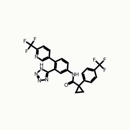 O=C(Nc1ccc(-c2ccc(C(F)(F)F)nc2)c(-c2nnn[nH]2)c1)C1(c2ccc(C(F)(F)F)cc2)CC1